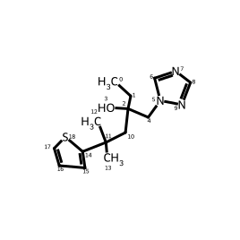 CCC(O)(Cn1cncn1)CC(C)(C)c1cccs1